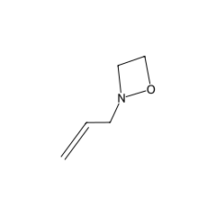 C=CCN1CCO1